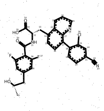 C[C@H](O)Cc1cc(F)c(C(=O)N[C@@H](Cc2ccc(-c3ccc(C#N)cc3Cl)c3ncccc23)C(=O)O)c(F)c1